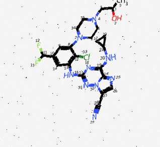 CC(O)CN1CCN(c2cc(C(F)F)cc(Nc3nc(NC4CC4)c4ncc(C#N)n4n3)c2Cl)CC1